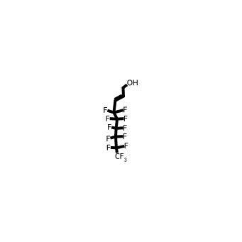 OC/C=C/C(F)(F)C(F)(F)C(F)(F)C(F)(F)C(F)(F)C(F)(F)F